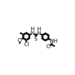 COc1c(C)cc(NC(=S)Nc2ccc(NC(C)=O)cc2)cc1Cl